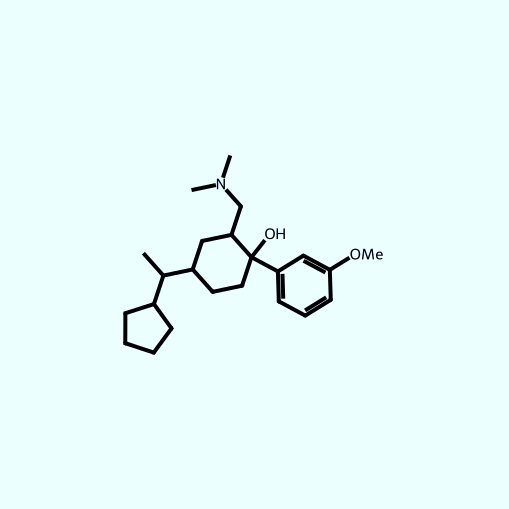 COc1cccc(C2(O)CCC(C(C)C3CCCC3)CC2CN(C)C)c1